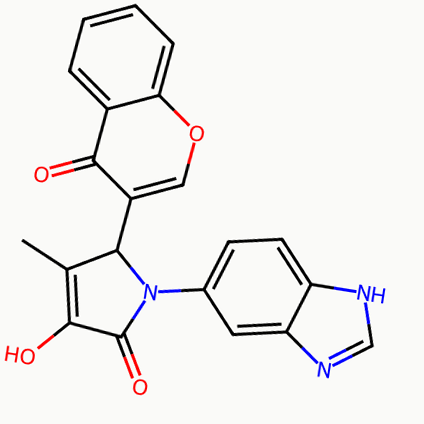 CC1=C(O)C(=O)N(c2ccc3[nH]cnc3c2)C1c1coc2ccccc2c1=O